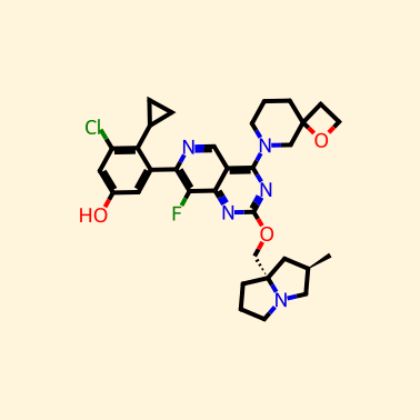 C[C@H]1CN2CCC[C@@]2(COc2nc(N3CCCC4(CCO4)C3)c3cnc(-c4cc(O)cc(Cl)c4C4CC4)c(F)c3n2)C1